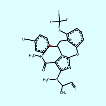 CC(C=O)N(C)c1nc(Oc2cccc(OC(F)(F)F)c2)n(Cc2ccc(Cl)cc2)c1C(=O)N(C)CCCO